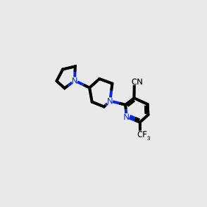 N#Cc1ccc(C(F)(F)F)nc1N1CCC(N2CCCC2)CC1